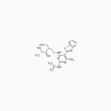 Cc1nc(N[C@H](C)C(F)(F)F)nc(NCCC(CO)[C@@H](O)[C@H](C)O)c1-c1nc2ccccc2s1